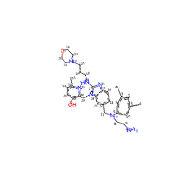 Cc1cc(C)cc(N(CCN)Cc2ccc3nc(NCCCN4CCOCC4)n(Cc4nc(C)ccc4O)c3c2)c1